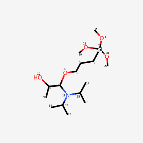 CO[Si](CCCOC(C(C)O)N(C(C)C)C(C)C)(OC)OC